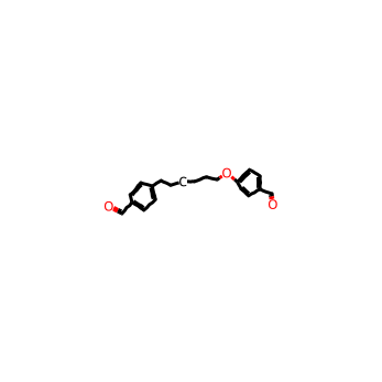 O=Cc1ccc(CCCCCCOc2ccc(C=O)cc2)cc1